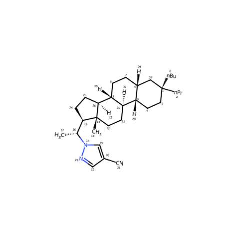 CCCC[C@@]1(CCC)CC[C@H]2[C@H](CC[C@@H]3[C@@H]2CC[C@]2(C)[C@@H]([C@@H](C)n4cc(C#N)cn4)CC[C@@H]32)C1